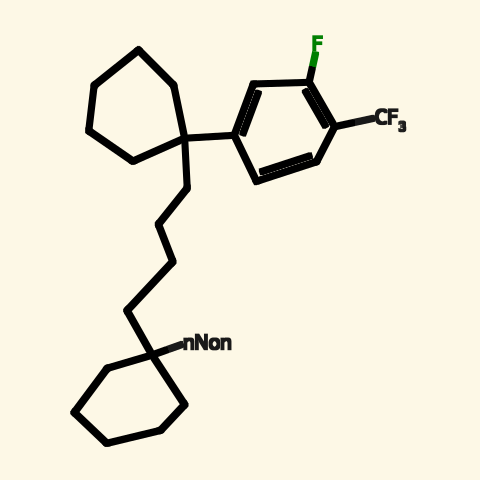 CCCCCCCCCC1(CCCCC2(c3ccc(C(F)(F)F)c(F)c3)CCCCC2)CCCCC1